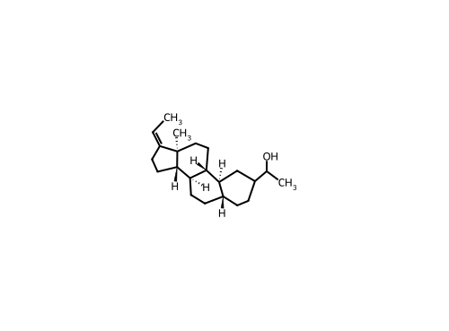 C/C=C1/CC[C@H]2[C@@H]3CC[C@H]4CCC(C(C)O)C[C@@H]4[C@H]3CC[C@]12C